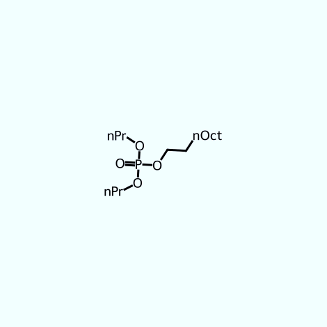 CCCCCCCCCCOP(=O)(OCCC)OCCC